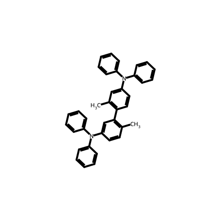 Cc1cc(N(c2ccccc2)c2ccccc2)ccc1-c1cc(N(c2ccccc2)c2ccccc2)ccc1C